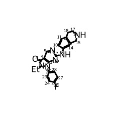 CCn1c(=O)c2cnc(Nc3ccc4c(c3)CNCC4)nc2n1-c1ccc(F)cc1